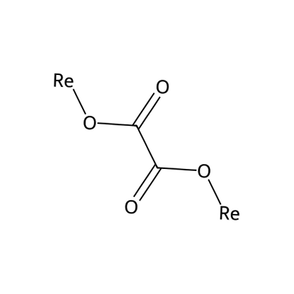 O=C([O][Re])C(=O)[O][Re]